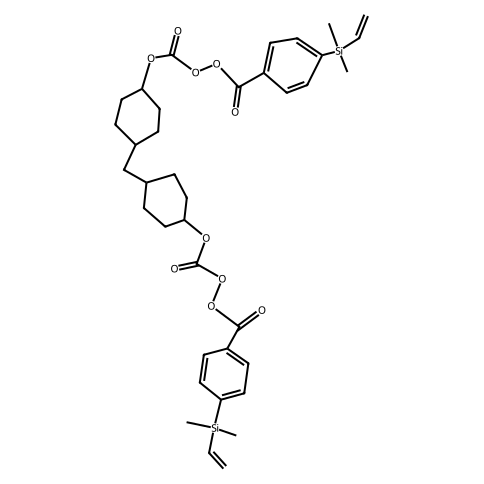 C=C[Si](C)(C)c1ccc(C(=O)OOC(=O)OC2CCC(CC3CCC(OC(=O)OOC(=O)c4ccc([Si](C)(C)C=C)cc4)CC3)CC2)cc1